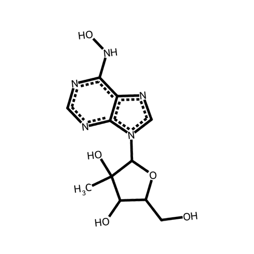 CC1(O)C(O)C(CO)OC1n1cnc2c(NO)ncnc21